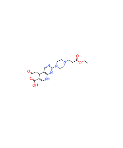 CCOC(=O)CCN1CCN(c2ncc3c(n2)NC=C(C(=O)O)C3CC=O)CC1